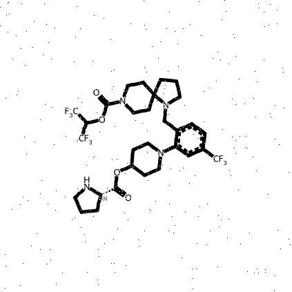 O=C(OC1CCN(c2cc(C(F)(F)F)ccc2CN2CCCC23CCN(C(=O)OC(C(F)(F)F)C(F)(F)F)CC3)CC1)[C@@H]1CCCN1